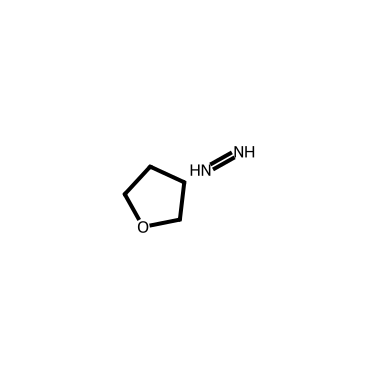 C1CCOC1.N=N